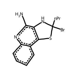 CCCC1(Br)Nc2c(N)nc3ccccc3c2S1